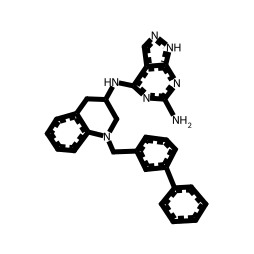 Nc1nc(NC2Cc3ccccc3N(Cc3cccc(-c4ccccc4)c3)C2)c2cn[nH]c2n1